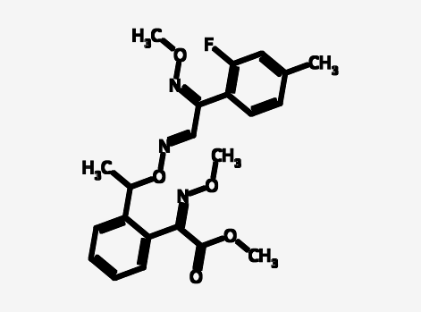 CON=C(C=NOC(C)c1ccccc1C(=NOC)C(=O)OC)c1ccc(C)cc1F